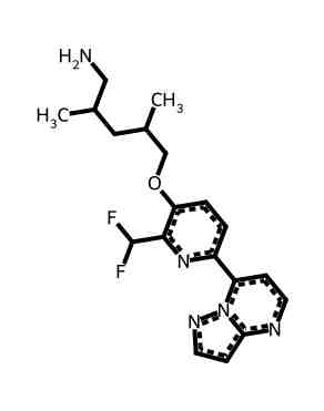 CC(CN)CC(C)COc1ccc(-c2ccnc3ccnn23)nc1C(F)F